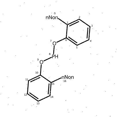 CCCCCCCCCc1ccccc1OPOc1ccccc1CCCCCCCCC